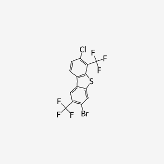 FC(F)(F)c1cc2c(cc1Br)sc1c(C(F)(F)F)c(Cl)ccc12